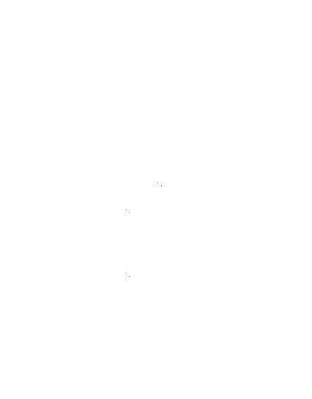 Cc1cc(N)cnc1N1CCC(C)CC1